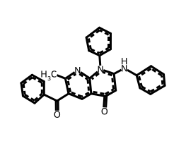 Cc1nc2c(cc1C(=O)c1ccccc1)c(=O)cc(Nc1ccccc1)n2-c1ccccc1